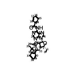 CC[C@H]1O[C@@H](n2cnc3c(NC(=O)c4ccccc4)ncnc32)C(O[Si](C)(C)C(C)(C)C)[C@H]1CCc1ccccc1